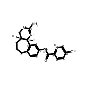 C[C@]12N=C(N)SC[C@H]1CCCc1ccc(NC(=O)c3ccc(Cl)cn3)cc12